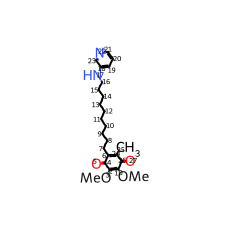 COC1=C(OC)C(=O)C(CCCCCCCCCCNc2cccnc2)=C(C)C1=O